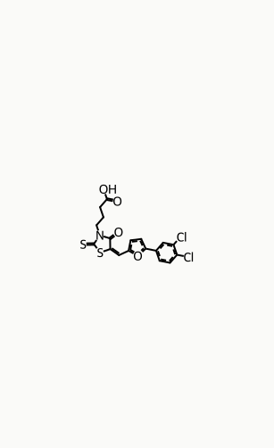 O=C(O)CCCN1C(=O)/C(=C\c2ccc(-c3ccc(Cl)c(Cl)c3)o2)SC1=S